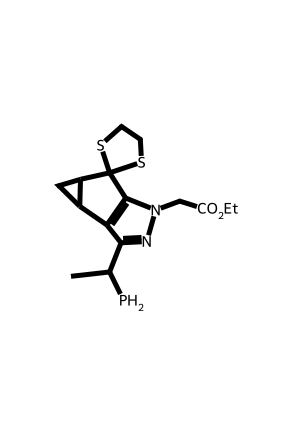 CCOC(=O)Cn1nc(C(C)P)c2c1C1(SCCS1)C1CC21